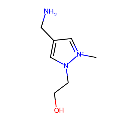 C[n+]1cc(CN)cn1CCO